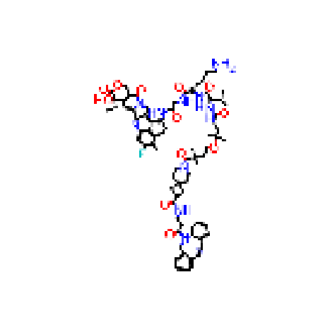 CC[C@@]1(O)C(=O)OCc2c1cc1n(c2=O)Cc2c-1nc1cc(F)c(C)c3c1c2[C@@H](NC(=O)CNC(=O)[C@H](CCCCN)NC(=O)[C@@H](NC(=O)CCC(C)(C)OCCC(C)(C)C(=O)N1CCC2(CC1)CC(C(=O)NCCC(=O)N1Cc4ccccc4/C=C\c4ccccc41)C2)C(C)C)CC3